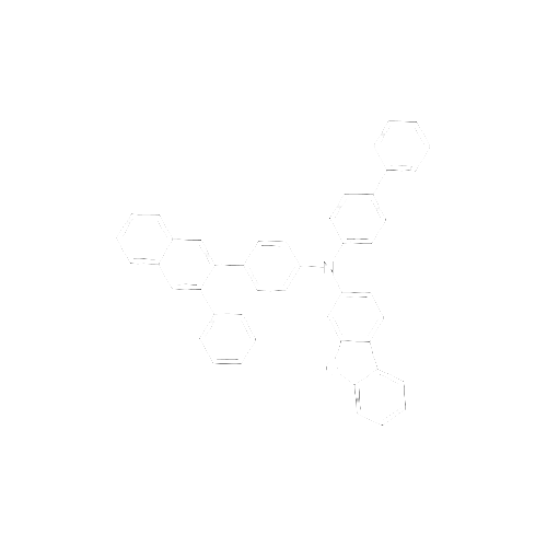 c1ccc(-c2ccc(N(c3ccc(-c4cc5ccccc5cc4-c4ccccc4)cc3)c3ccc4c(c3)oc3ccccc34)cc2)cc1